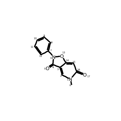 Cn1cc2c(=O)n(-c3ccccc3)oc2cc1=O